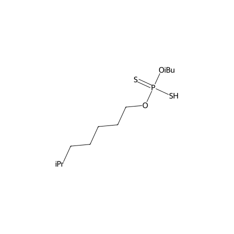 CC(C)CCCCCOP(=S)(S)OCC(C)C